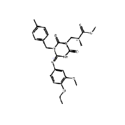 CCOc1ccc(/N=c2\[nH]c(=O)n(C[C@H](C)C(=O)OC)c(=O)n2Cc2ccc(C)cc2)cc1OC